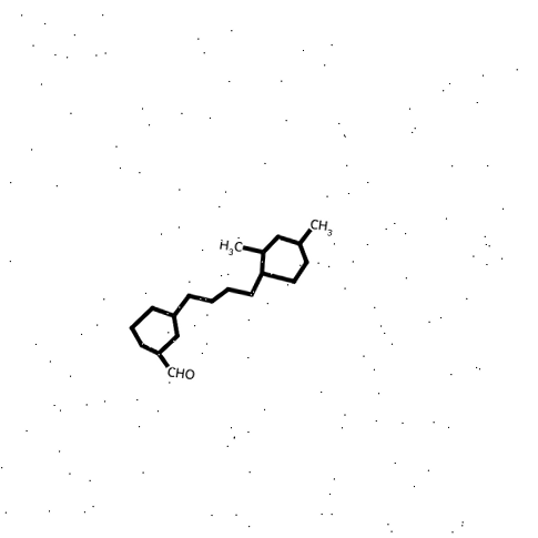 CC1CCC(CCCCC2CCCC(C=O)C2)C(C)C1